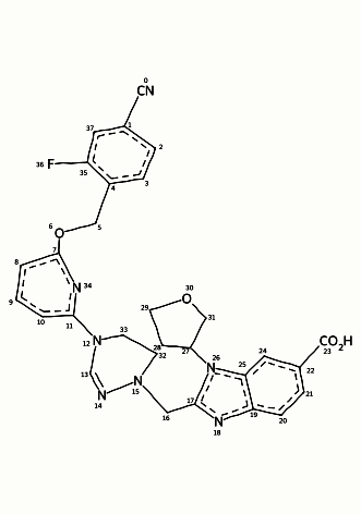 N#Cc1ccc(COc2cccc(N3C=NN(Cc4nc5ccc(C(=O)O)cc5n4C4CCOC4)CC3)n2)c(F)c1